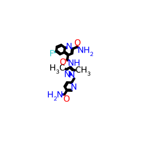 Cc1nn(Cc2ccc(C(N)=O)cn2)c(C)c1NC(=O)c1cc(C(N)=O)nc2ccc(F)cc12